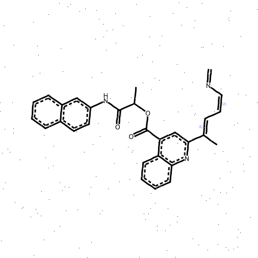 C=N/C=C\C=C(/C)c1cc(C(=O)OC(C)C(=O)Nc2ccc3ccccc3c2)c2ccccc2n1